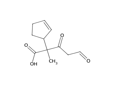 CC(C(=O)O)(C(=O)CC=O)C1C=CCC1